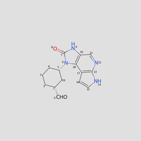 O=C[C@@H]1CCC[C@H](n2c(=O)[nH]c3cnc4[nH]ccc4c32)C1